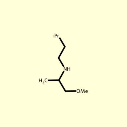 COCC(C)NCCC(C)C